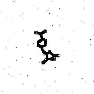 O=C1NC(=S)S/C1=C\c1ccc(C(=O)Cl)cc1